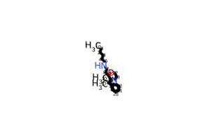 CCCCCCNCCC1(C)OCCn2c1c(C)c1ccccc12